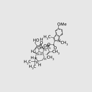 COc1ccc2c(c1)c(C)c(C(=O)O[C@H]1C(C)=C[C@]34C(O)[C@@H](C=C(CO)[C@@H](O)[C@]13O)[C@H]1[C@@H](C[C@H]4C)C1(C)C)n2C